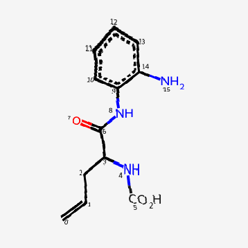 C=CCC(NC(=O)O)C(=O)Nc1ccccc1N